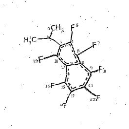 CC(C)c1c(F)c(F)c2c(F)c(F)c(F)c(F)c2c1F